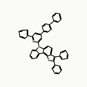 c1ccc(-c2ccc(-c3cc(-c4ccccc4)nc(-n4c5ccccc5c5c6sc(-c7ccccc7)c(-c7ccccc7)c6ccc54)c3)cc2)cc1